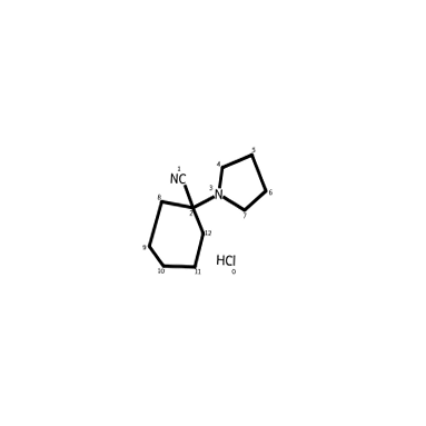 Cl.N#CC1(N2CCCC2)CCCCC1